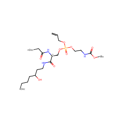 C=CCOP(=O)(OCCNC(=O)OC(C)(C)C)OC[C@H](NC(=O)CCCCCCCCCCC)C(=O)NCCC(O)CCCCCCCCCCCCC